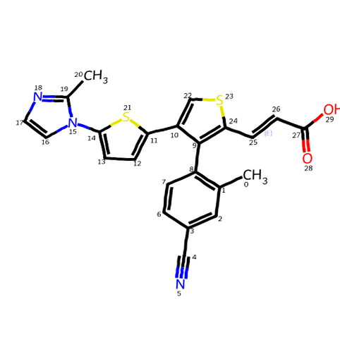 Cc1cc(C#N)ccc1-c1c(-c2ccc(-n3ccnc3C)s2)csc1/C=C/C(=O)O